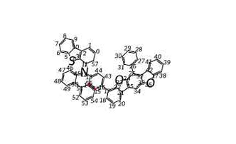 C1=Cc2c(sc3ccccc23)C(N(c2ccc(-c3cccc4c3oc3c(-c5ccccc5)c5c(cc34)oc3ccccc35)cc2)c2ccccc2-c2ccccc2)C1